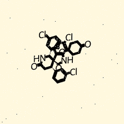 O=C1CCC(Oc2ccc(Cl)cc2[C@H]2NC(=O)C[C@@H](c3cccc(Cl)c3)[C@]23C(=O)Nc2cc(Cl)ccc23)CC1